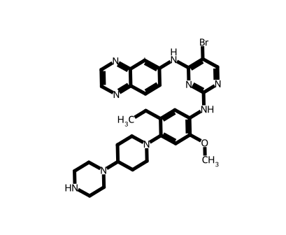 CCc1cc(Nc2ncc(Br)c(Nc3[c]c4nccnc4cc3)n2)c(OC)cc1N1CCC(N2CCNCC2)CC1